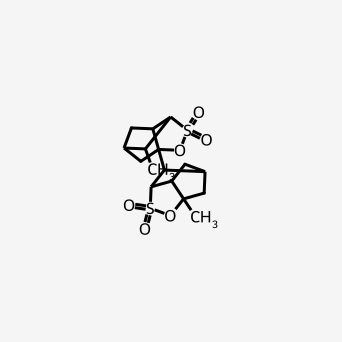 CC1C2CC3C1S(=O)(=O)OC3(C1C3CC4C1S(=O)(=O)OC4(C)C3)C2